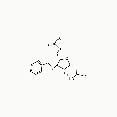 CCC(O)C[C@H]1O[C@@H](COC(=O)C(C)(C)C)C(OCc2ccccc2)[C@H]1C